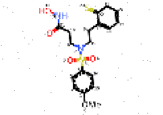 COc1ccc(S(=O)(=O)N(CCC(=O)NO)CCC2=CC=CCC2=S)cc1